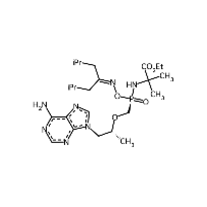 CCOC(=O)C(C)(C)N[P@@](=O)(CO[C@H](C)Cn1cnc2c(N)ncnc21)ON=C(CC(C)C)CC(C)C